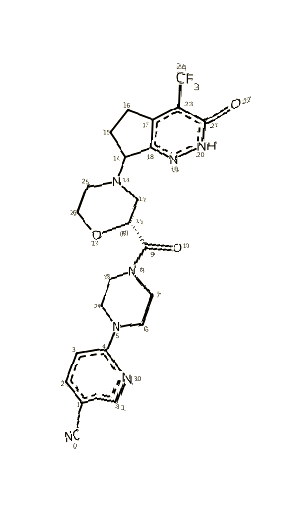 N#Cc1ccc(N2CCN(C(=O)[C@H]3CN(C4CCc5c4n[nH]c(=O)c5C(F)(F)F)CCO3)CC2)nc1